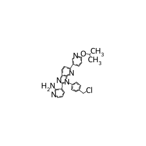 CC(C)Oc1ccc(-c2ccc3nc(-c4cccnc4N)n(-c4ccc(CCl)cc4)c3n2)cn1